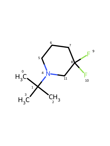 CC(C)(C)N1CCCC(F)(F)C1